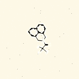 O=C(N1Cc2cccc3cccc(c23)C1)C(F)(F)F